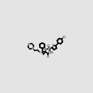 O=C(O)C1(NS(=O)(=O)c2ccc(-c3ccc(Cl)cc3)s2)C[C@@]1(CCCN1CCOCC1)c1ccccc1